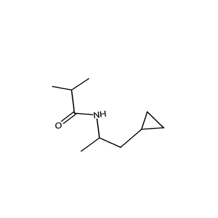 CC(CC1CC1)NC(=O)C(C)C